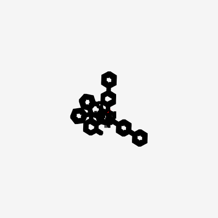 CC1CC=CC(C2(c3ccccc3)c3ccccc3Oc3ccccc32)=C1C1N=C(c2ccc(-c3ccccc3)cc2)N=C(C2=CC=C(c3ccccc3)CC2)N1